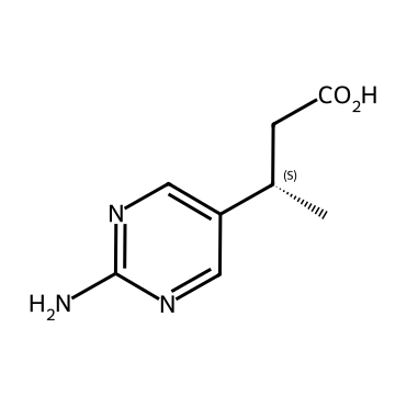 C[C@@H](CC(=O)O)c1cnc(N)nc1